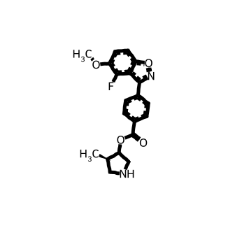 COc1ccc2onc(-c3ccc(C(=O)OC4CNC[C@H]4C)cc3)c2c1F